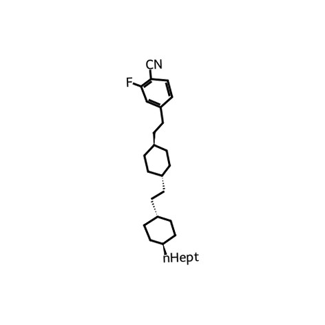 CCCCCCC[C@H]1CC[C@H](CC[C@H]2CC[C@H](CCc3ccc(C#N)c(F)c3)CC2)CC1